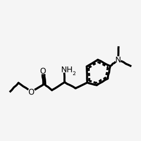 CCOC(=O)CC(N)Cc1ccc(N(C)C)cc1